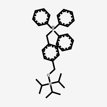 CC(C)[Si](OCc1ccc(C[PH](c2ccccc2)(c2ccccc2)c2ccccc2)cc1)(C(C)C)C(C)C